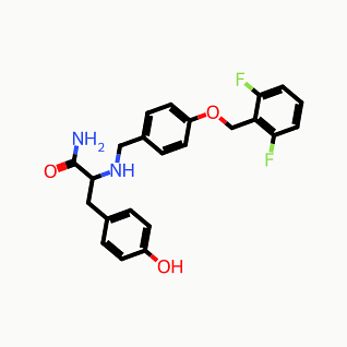 NC(=O)C(Cc1ccc(O)cc1)NCc1ccc(OCc2c(F)cccc2F)cc1